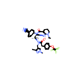 CCN1CCCc2c1nc([C@@H](C)N(Cc1cn(C)nc1C)C(=O)Cc1ccc(OC(F)(F)F)cc1)n(-c1ccc(C#N)cc1)c2=O